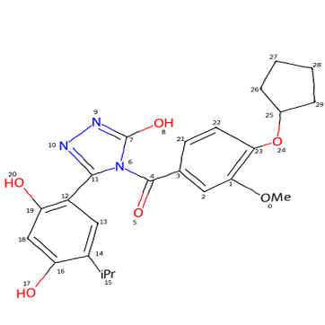 COc1cc(C(=O)n2c(O)nnc2-c2cc(C(C)C)c(O)cc2O)ccc1OC1CCCC1